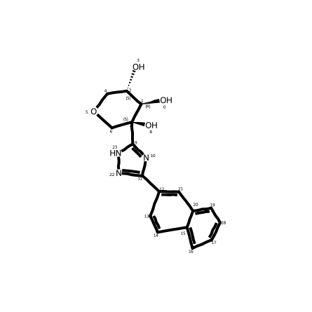 O[C@@H]1[C@@H](O)COC[C@@]1(O)c1nc(-c2ccc3ccccc3c2)n[nH]1